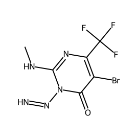 CNc1nc(C(F)(F)F)c(Br)c(=O)n1N=N